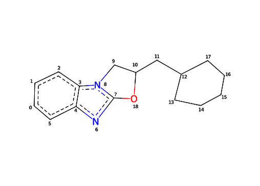 c1ccc2c(c1)nc1n2CC(CC2CCCCC2)O1